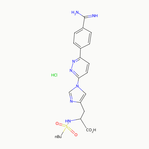 CCCCS(=O)(=O)NC(Cc1cn(-c2ccc(-c3ccc(C(=N)N)cc3)nn2)cn1)C(=O)O.Cl